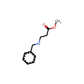 COC(=O)CC[N]Cc1ccccc1